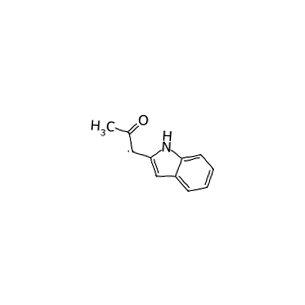 CC(=O)[CH]c1cc2ccccc2[nH]1